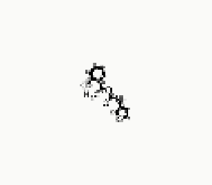 CC(OC(=O)Nc1ccsc1)c1ccccc1Cl